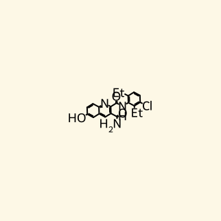 CCc1ccc(Cl)c(CC)c1NC(=O)c1nc2ccc(O)cc2cc1C(N)=O